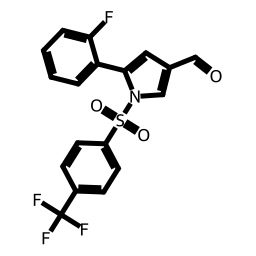 O=Cc1cc(-c2ccccc2F)n(S(=O)(=O)c2ccc(C(F)(F)F)cc2)c1